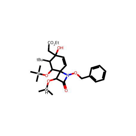 CCOC(=O)CC1(O)C=CC2(C(O[SiH](C)C)C(=O)N2OCc2ccccc2)C(O[Si](C)(C)C)C1C(C)(C)C